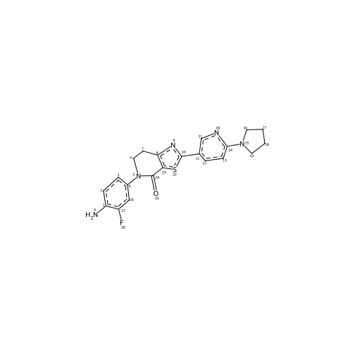 Nc1ccc(N2CCc3nc(-c4ccc(N5CCCC5)nc4)sc3C2=O)cc1F